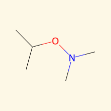 CC(C)ON(C)C